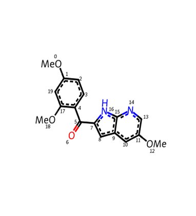 COc1ccc(C(=O)c2cc3cc(OC)cnc3[nH]2)c(OC)c1